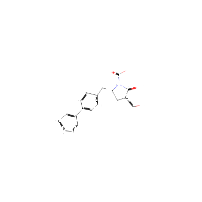 O=C(O)N1C(=O)/C(=C\O)C[C@H]1Cc1ccc(-c2ccccc2)cc1